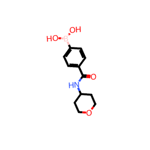 O=C(NC1CCOCC1)c1ccc(B(O)O)cc1